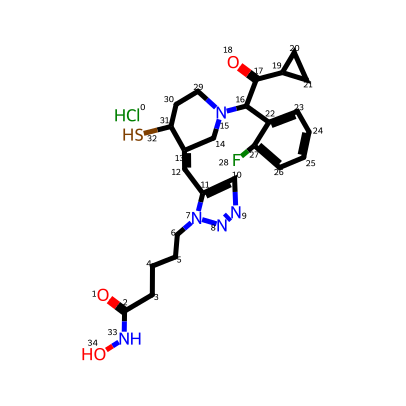 Cl.O=C(CCCCn1nncc1/C=C1\CN(C(C(=O)C2CC2)c2ccccc2F)CCC1S)NO